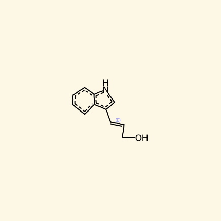 OC/C=C/c1c[nH]c2ccccc12